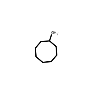 [SiH2]C1CCCCCCC1